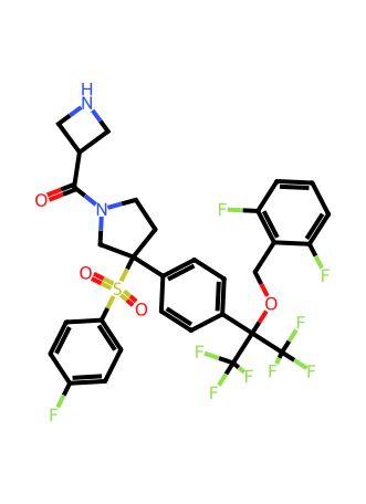 O=C(C1CNC1)N1CCC(c2ccc(C(OCc3c(F)cccc3F)(C(F)(F)F)C(F)(F)F)cc2)(S(=O)(=O)c2ccc(F)cc2)C1